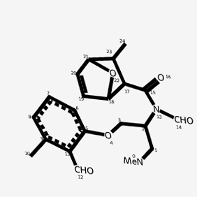 CNCC(COc1cccc(C)c1C=O)N(C=O)C(=O)C1C2C=CC(O2)C1C